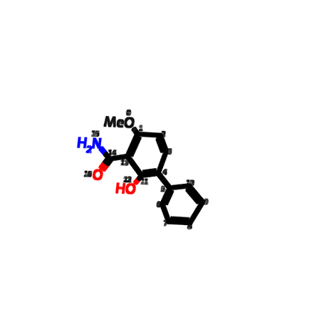 COc1ccc(-c2ccccc2)c(O)c1C(N)=O